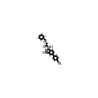 N#Cc1ccc(-c2ccc3c(NC(=O)COCc4ccccc4)n[nH]c3c2)cc1